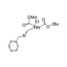 CCC(C/C=N/Cc1ccccc1)(NC(=O)OC(C)(C)C)C(=O)OC